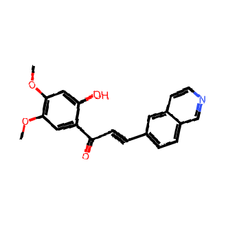 COc1cc(O)c(C(=O)C=Cc2ccc3cnccc3c2)cc1OC